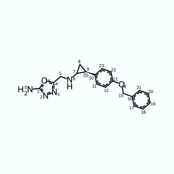 Nc1nnc(CNC2C[C@H]2c2ccc(OCc3ccccc3)cc2)o1